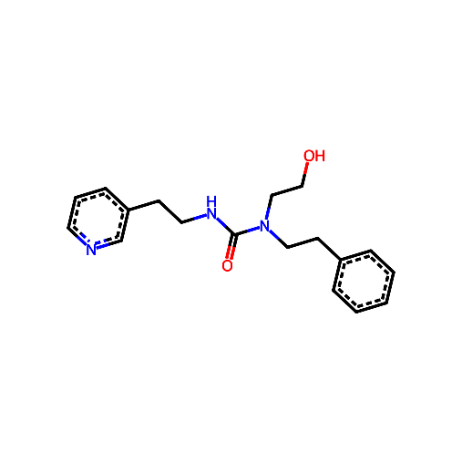 O=C(NCCc1cccnc1)N(CCO)CCc1ccccc1